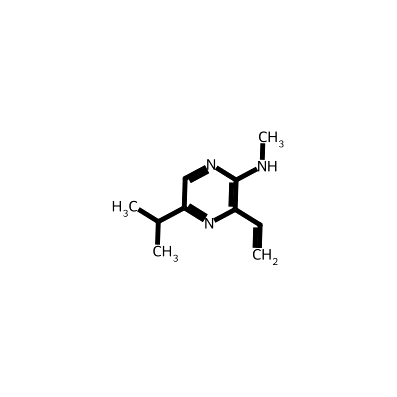 C=Cc1nc(C(C)C)cnc1NC